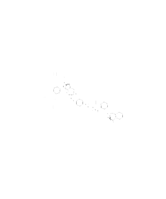 C=CCn1c(=O)c2cnc(Nc3ccc(N4CCN(C(=O)c5cc(Cc6n[nH]c(=O)c7ccccc67)ccc5F)CC4)cc3)nc2n1-c1cccc(C(C)(C)O)c1